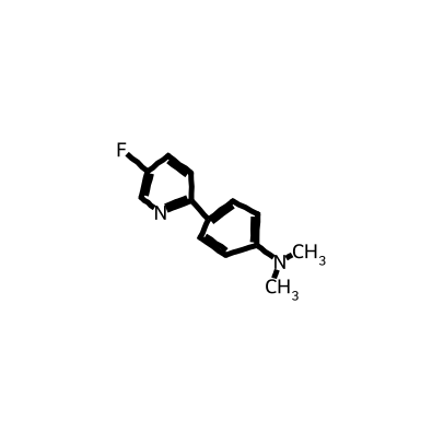 CN(C)c1ccc(-c2ccc(F)cn2)cc1